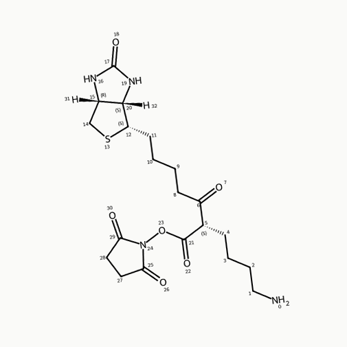 NCCCC[C@@H](C(=O)CCCC[C@@H]1SC[C@@H]2NC(=O)N[C@@H]21)C(=O)ON1C(=O)CCC1=O